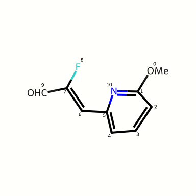 COc1cccc(C=C(F)C=O)n1